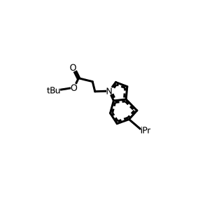 CC(C)c1ccc2c(ccn2CCC(=O)OC(C)(C)C)c1